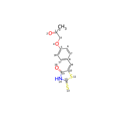 CC(=O)COc1ccc(C=C2SC(=S)NC2=O)cc1